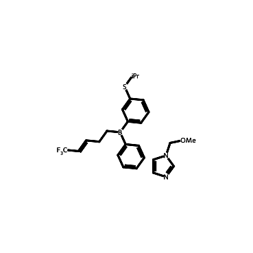 CC(C)Sc1cccc(B(CCC=CC(F)(F)F)c2ccccc2)c1.COCn1ccnc1